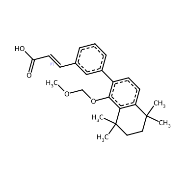 COCOc1c(-c2cccc(/C=C/C(=O)O)c2)ccc2c1C(C)(C)CCC2(C)C